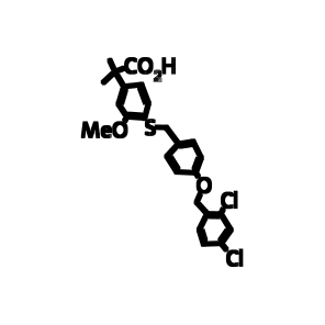 COc1cc(C(C)(C)C(=O)O)ccc1SCc1ccc(OCc2ccc(Cl)cc2Cl)cc1